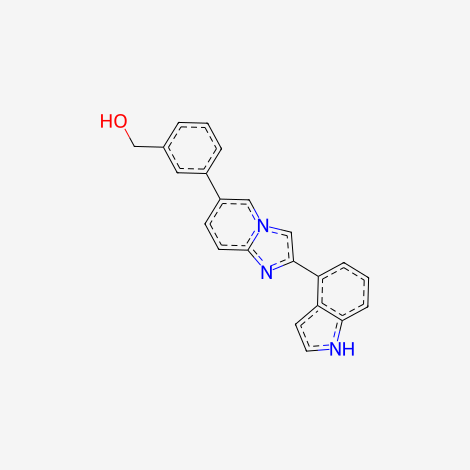 OCc1cccc(-c2ccc3nc(-c4cccc5[nH]ccc45)cn3c2)c1